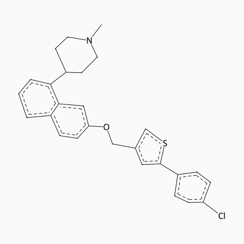 CN1CCC(c2cccc3ccc(OCc4csc(-c5ccc(Cl)cc5)c4)cc23)CC1